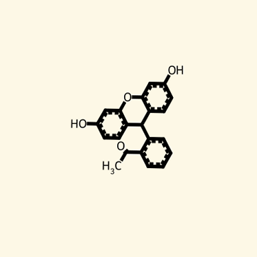 CC(=O)c1ccccc1C1c2ccc(O)cc2Oc2cc(O)ccc21